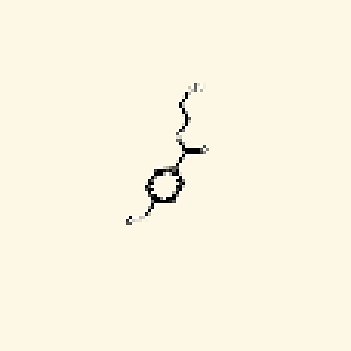 CC(C)(C)CCSC(=O)c1ccc(C=O)cc1